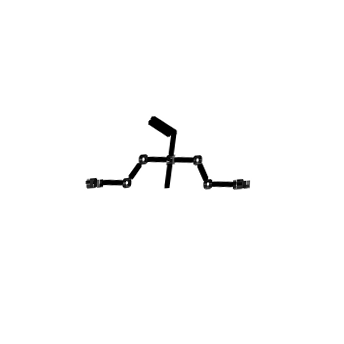 C=C[Si](C)(OOC(C)(C)C)OOC(C)(C)C